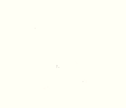 Cc1sc(-c2cc(F)cc(Cl)c2)nc1CO